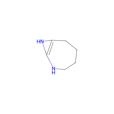 C1CCC2=C(NC1)N2